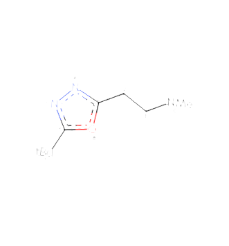 CNCCc1nnc(C(C)(C)C)o1